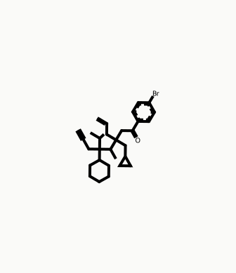 C#CCC([C](C)C(CC=C)(CC(=O)c1ccc(Br)cc1)CC1CC1)(C(C)C)C1CCCCC1